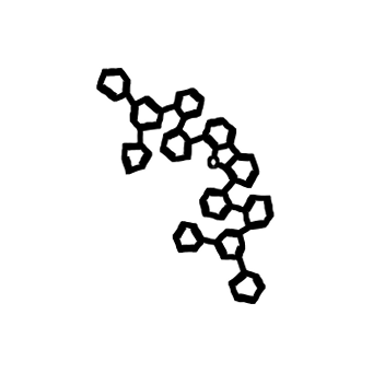 c1ccc(-c2cc(-c3ccccc3)cc(-c3ccccc3-c3ccccc3-c3cccc4c3oc3c(-c5ccccc5-c5ccccc5-c5cc(-c6ccccc6)cc(-c6ccccc6)c5)cccc34)c2)cc1